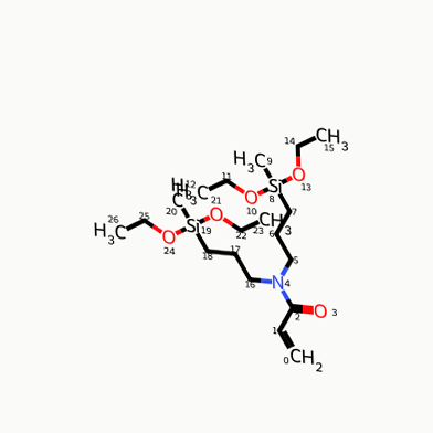 C=CC(=O)N(CCC[Si](C)(OCC)OCC)CCC[Si](C)(OCC)OCC